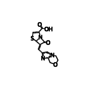 O=C(O)C1=CSC2C(=Cc3cn4c(n3)COCC4)C(=O)N12